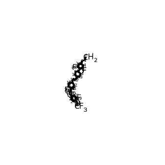 C=CCc1cc(F)c(C2CCC(/C=C/C3CCC(C(F)(F)Oc4ccc(OC(F)(F)F)c(F)c4)CC3)CC2)c(F)c1